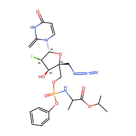 C=C1NC(=O)C=CN1[C@@H]1O[C@](CN=[N+]=[N-])(COP(=O)(NC(C)C(=O)OC(C)C)Oc2ccccc2)[C@@H](O)[C@H]1F